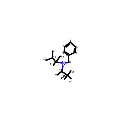 CC(N(Cc1ccccc1)C(C)(C)C(C)C)C(C)(C)C